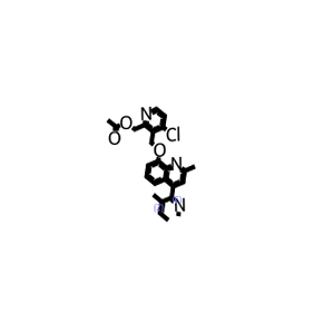 C/C=C(C)\C(=N/C)c1cc(C)nc2c(OCc3c(Cl)ccnc3COC(C)=O)cccc12